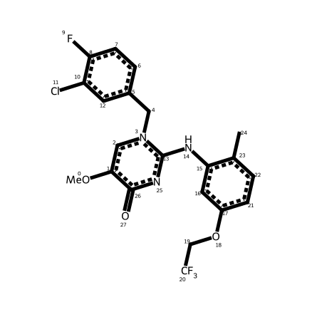 COc1cn(Cc2ccc(F)c(Cl)c2)c(Nc2cc(OCC(F)(F)F)ccc2C)nc1=O